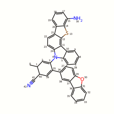 CC1C=C(n2c3ccccc3c3c4sc5c(N)cccc5c4ccc32)C(c2ccc3oc4ccccc4c3c2)=CC1C#N